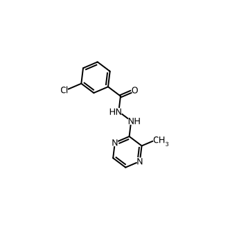 Cc1nccnc1NNC(=O)c1cccc(Cl)c1